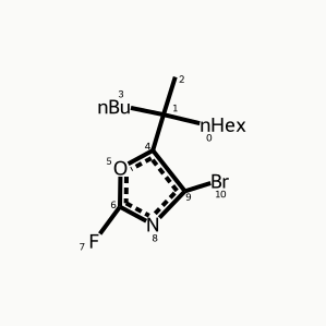 CCCCCCC(C)(CCCC)c1oc(F)nc1Br